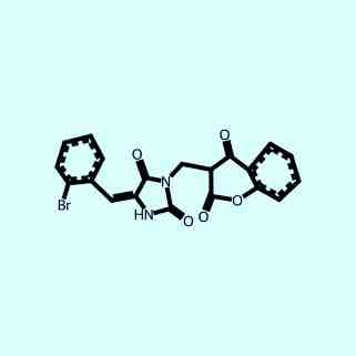 O=C1Oc2ccccc2C(=O)C1CN1C(=O)NC(=Cc2ccccc2Br)C1=O